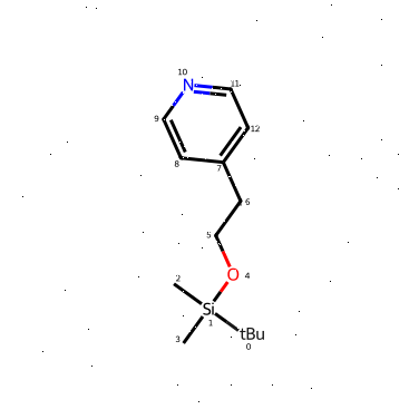 CC(C)(C)[Si](C)(C)OC[CH]c1ccncc1